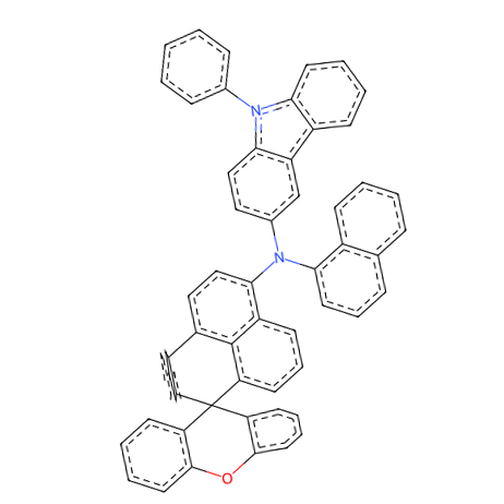 c1ccc(-n2c3ccccc3c3cc(N(c4cccc5ccccc45)c4ccc5c6c(cccc46)C4(c6ccccc6Oc6ccccc64)c4ccccc4-5)ccc32)cc1